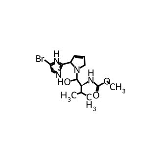 COC(=O)N[C@@H](C(C)C)C(O)N1CC=CC1c1ncc(Br)[nH]1